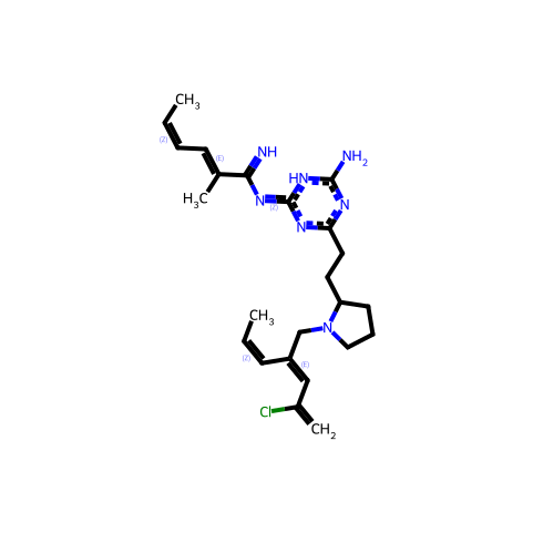 C=C(Cl)/C=C(\C=C/C)CN1CCCC1CCc1nc(N)[nH]/c(=N\C(=N)/C(C)=C/C=C\C)n1